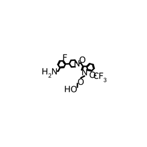 NCc1ccc(F)c(C2CCN(C(=O)c3cn(CCOCCO)c4c(OC(F)(F)F)cccc34)CC2)c1